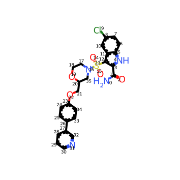 NC(=O)c1[nH]c2ccc(Cl)cc2c1S(=O)(=O)N1CCOC(COc2ccc(-c3cccnc3)cc2)C1